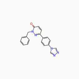 O=c1ccc(-c2ccc(-n3cnnc3)cc2)nn1Cc1ccccc1